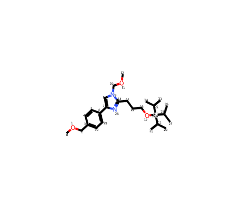 COCc1ccc(-c2cn(COC)c(CCCO[Si](C(C)C)(C(C)C)C(C)C)n2)cc1